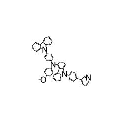 COc1ccc(N(c2ccc(-n3c4ccccc4c4ccccc43)cc2)c2cccc3c2c2ccccc2n3-c2ccc(-c3cccnc3)cc2)cc1